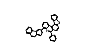 c1ccc(-c2nc3c(-c4ccc5ccc6ccccc6c5c4)cccc3c3c2ccc2sc4ccccc4c23)cc1